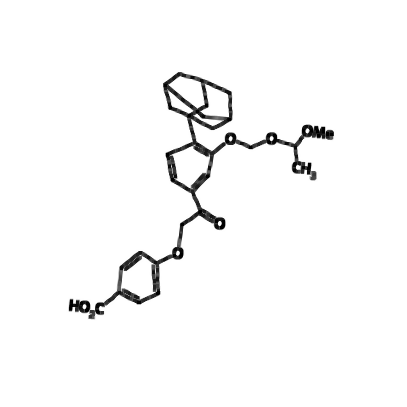 COC(C)OCOc1cc(C(=O)COc2ccc(C(=O)O)cc2)ccc1C12CC3CC(CC(C3)C1)C2